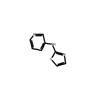 c1cncc(Nc2nccs2)c1